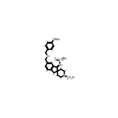 COc1ccc(COCc2ccc3c(c2)C(=N[S@+]([O-])C(C)(C)C)C2(CCN(C(=O)O)CC2)C3)cc1